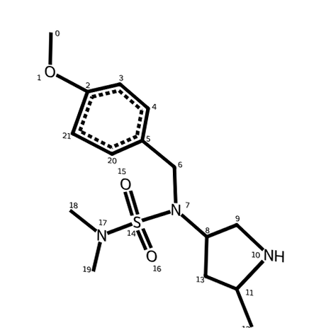 COc1ccc(CN(C2CNC(C)C2)S(=O)(=O)N(C)C)cc1